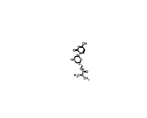 CN(C)[PH](=O)OC[C@@H]1CNC[C@H](n2ccc(O)nc2=O)O1